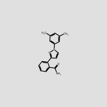 Cc1cc(C)cc(-n2ccc(-c3ccccc3C(N)=O)n2)c1